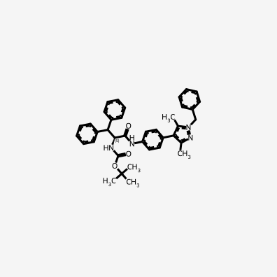 Cc1nn(Cc2ccccc2)c(C)c1-c1ccc(NC(=O)[C@@H](NC(=O)OC(C)(C)C)C(c2ccccc2)c2ccccc2)cc1